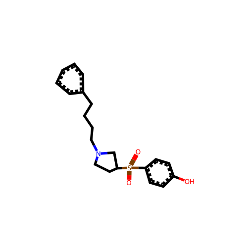 O=S(=O)(c1ccc(O)cc1)C1CCN(CCCCc2ccccc2)C1